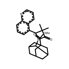 COC(=O)C12CC3CC(C1)C(N1C(=O)C(C)(C)C1c1cccc4ncccc14)C(C3)C2